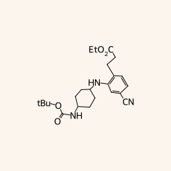 CCOC(=O)CCc1ccc(C#N)cc1NC1CCC(NC(=O)OC(C)(C)C)CC1